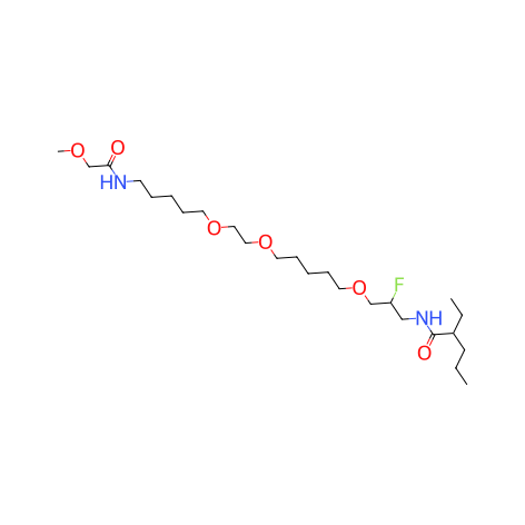 CCCC(CC)C(=O)NCC(F)COCCCCCOCCOCCCCCNC(=O)COC